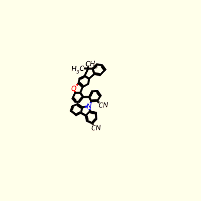 CC1(C)C2=CC3=C(CC2c2ccccc21)C1C(c2cccc(C#N)c2-n2c4ccccc4c4cc(C#N)ccc42)=CC=CC1O3